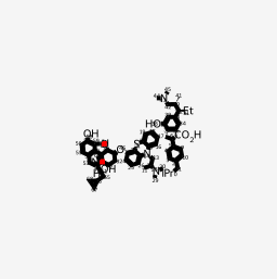 CC(C)Cc1ccc(C(C)C(=O)O)cc1.CC(CN1c2ccccc2Sc2ccccc21)N(C)C.CC[C@@H](c1cccc(O)c1)[C@@H](C)CN(C)C.O=C1CC[C@@]2(O)[C@H]3Cc4ccc(O)c5c4[C@@]2(CCN3CC2CC2)[C@H]1O5